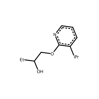 CCC(O)COc1ncccc1C(C)C